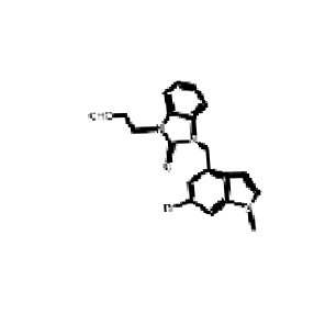 Cn1ccc2c(Cn3c(=O)n(CCC=O)c4ccccc43)cc(Br)cc21